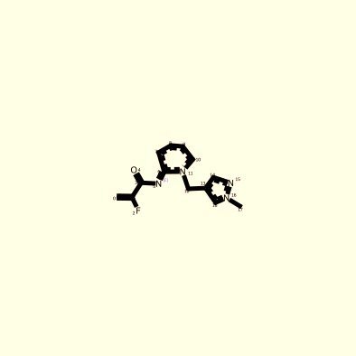 C=C(F)C(=O)/N=c1\ccccn1Cc1cnn(C)c1